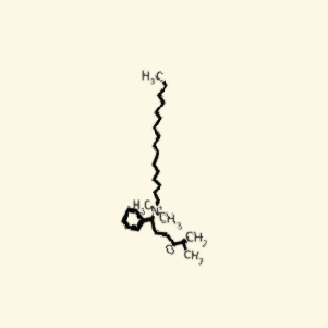 C=C(C)C(=O)CCC(c1ccccc1)[N+](C)(C)CCCCCCCCCCCCCCCC